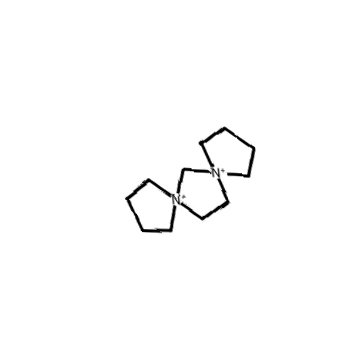 C1CC[N+]2(C1)CC[N+]1(CCCC1)C2